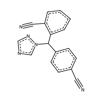 N#Cc1ccc(C(c2ccccc2C#N)n2cncn2)cc1